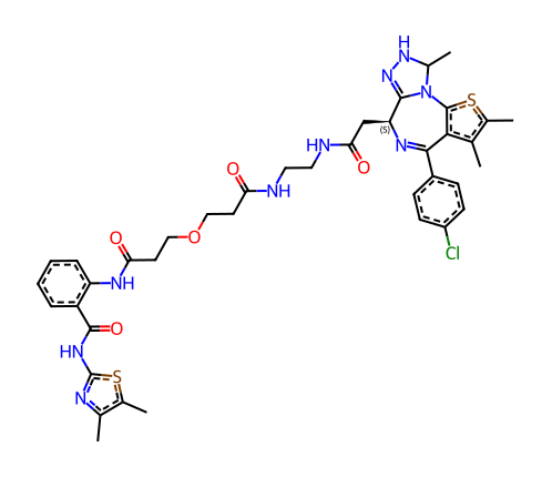 Cc1nc(NC(=O)c2ccccc2NC(=O)CCOCCC(=O)NCCNC(=O)C[C@@H]2N=C(c3ccc(Cl)cc3)c3c(sc(C)c3C)N3C2=NNC3C)sc1C